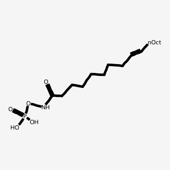 CCCCCCCCC=CCCCCCCCC(=O)NOP(=O)(O)O